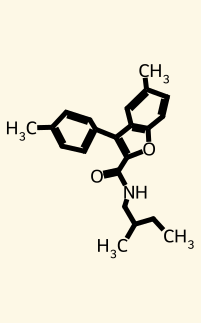 CCC(C)CNC(=O)c1oc2ccc(C)cc2c1-c1ccc(C)cc1